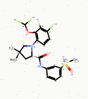 CO[C@]1(C(F)(F)F)C[C@@H](C(=O)Nc2cccc([S@](C)(=N)=O)c2)N(c2ccc(F)c(F)c2OC(F)F)C1